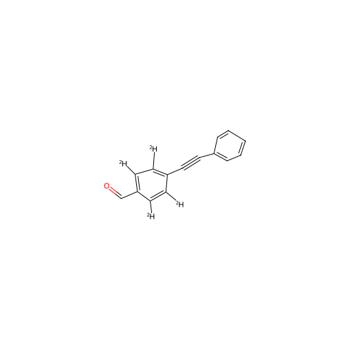 [2H]c1c([2H])c(C=O)c([2H])c([2H])c1C#Cc1ccccc1